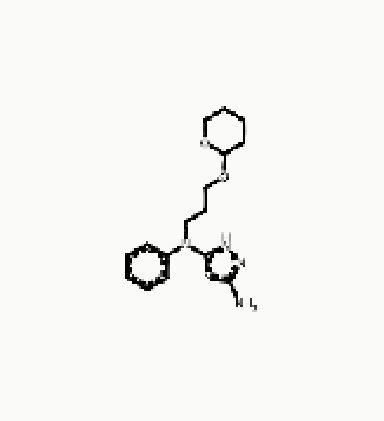 Nc1n[nH]c(N(CCCOC2CCCCO2)c2ccccc2)n1